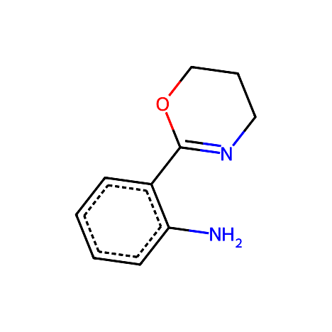 Nc1ccccc1C1=NCCCO1